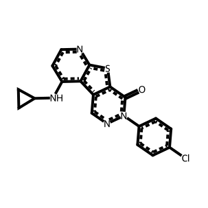 O=c1c2sc3nccc(NC4CC4)c3c2cnn1-c1ccc(Cl)cc1